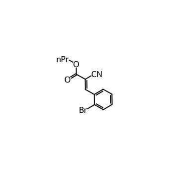 CCCOC(=O)/C(C#N)=C/c1ccccc1Br